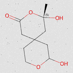 C[C@@]1(O)CC2(CCOC(O)C2)CC(=O)O1